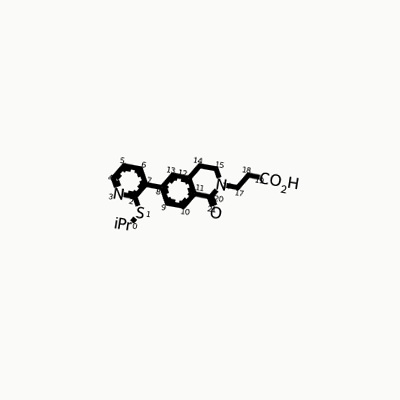 CC(C)Sc1ncccc1-c1ccc2c(c1)CCN(CCC(=O)O)C2=O